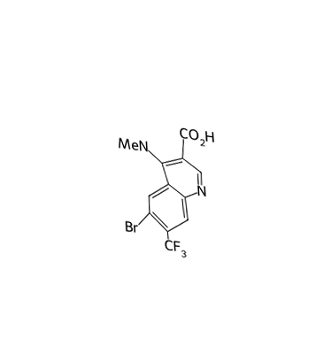 CNc1c(C(=O)O)cnc2cc(C(F)(F)F)c(Br)cc12